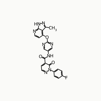 Cc1n[nH]c2nccc(Oc3ncc(NC(=O)c4ccnn(-c5ccc(F)cc5)c4=O)cn3)c12